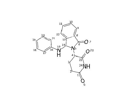 O=C1CCC(N2C(=O)c3ccccc3C2Nc2ccccc2)C(=O)N1